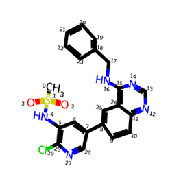 CS(=O)(=O)Nc1cc(-c2ccc3ncnc(NCc4ccccc4)c3c2)cnc1Cl